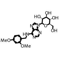 COc1ccc(CNc2ncnc3c2ncn3C2O[C@H](CO)[C@@H](O)[C@H](O)[C@H]2O)c(OC)c1